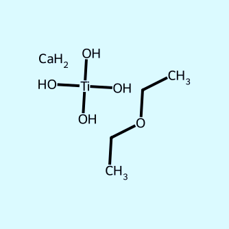 CCOCC.[CaH2].[OH][Ti]([OH])([OH])[OH]